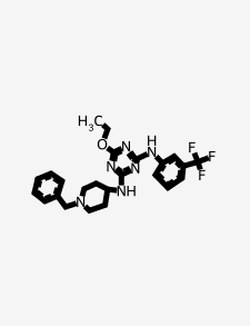 CCOc1nc(Nc2cccc(C(F)(F)F)c2)nc(NC2CCN(Cc3ccccc3)CC2)n1